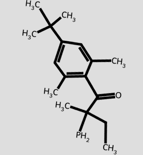 CCC(C)(P)C(=O)c1c(C)cc(C(C)(C)C)cc1C